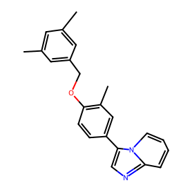 Cc1cc(C)cc(COc2ccc(-c3cnc4ccccn34)cc2C)c1